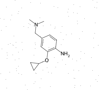 CN(C)Cc1ccc(N)c(OC2CC2)c1